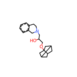 OC(COC12CC3CC1CC3C2)CN1CCc2ccccc2C1